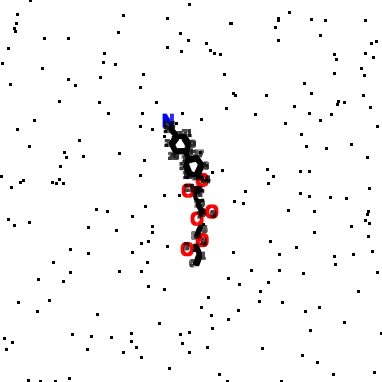 C=CC(=O)OCCOC(=O)CCC(=O)Oc1ccc(-c2ccc(C#N)cc2)cc1